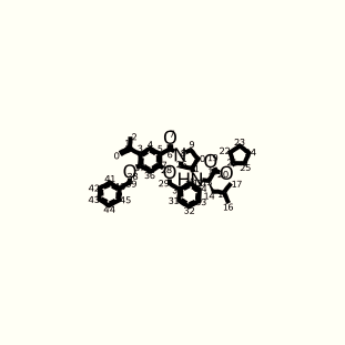 C=C(C)c1cc(C(=O)N2CCC(N[C@H](CC(C)C)C(=O)OC3CCCC3)C2)c(OCc2ccccc2)cc1OCc1ccccc1